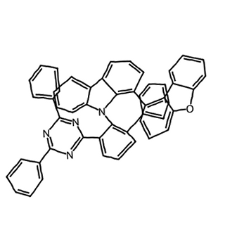 c1ccc(-c2nc(-c3ccccc3)nc(-c3cccc(-c4ccccc4)c3-n3c4ccccc4c4cccc(-c5cccc6oc7ccccc7c56)c43)n2)cc1